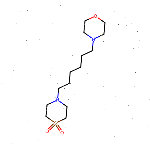 O=S1(=O)CCN(C[CH]CCCCN2CCOCC2)CC1